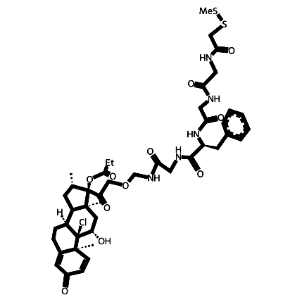 CCC(=O)O[C@]1(C(=O)COCNC(=O)CNC(=O)[C@H](Cc2ccccc2)NC(=O)CNC(=O)CNC(=O)CSSC)[C@@H](C)CC2[C@@H]3CCC4=CC(=O)C=C[C@]4(C)[C@@]3(Cl)[C@@H](O)C[C@@]21C